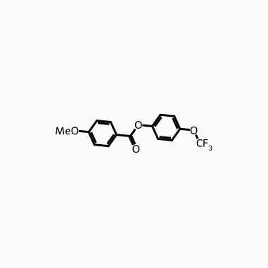 COc1ccc(C(=O)Oc2ccc(OC(F)(F)F)cc2)cc1